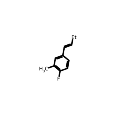 [CH2]CC=Cc1ccc(F)c(C)c1